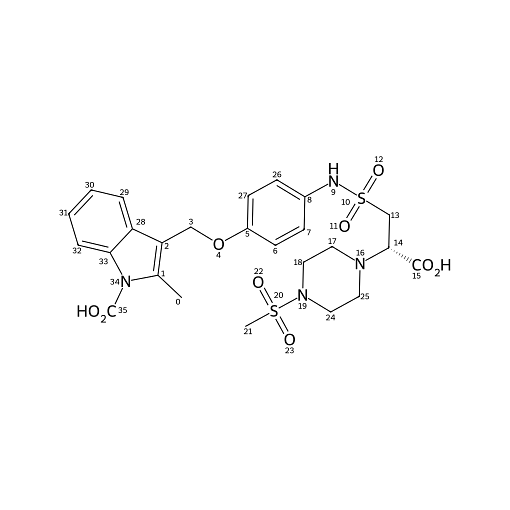 Cc1c(COc2ccc(NS(=O)(=O)C[C@H](C(=O)O)N3CCN(S(C)(=O)=O)CC3)cc2)c2ccccc2n1C(=O)O